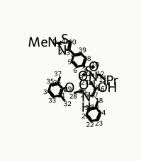 CNc1nc(-c2ccc(S(=O)(=O)N(CC(C)C)C[C@@H](O)[C@H](Cc3ccccc3)NC(=O)COc3c(C)cccc3C)cc2)cs1